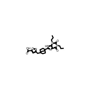 CCCn1c(=O)c2nc(C34CCC(Cc5cc(C(=O)O)on5)(CC3)CC4)[nH]c2n(CCC)c1=O